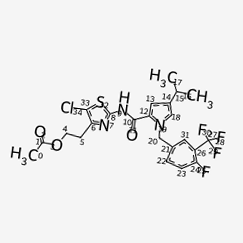 CC(=O)OCCc1nc(NC(=O)c2cc(C(C)C)cn2Cc2ccc(F)c(C(F)(F)F)c2)sc1Cl